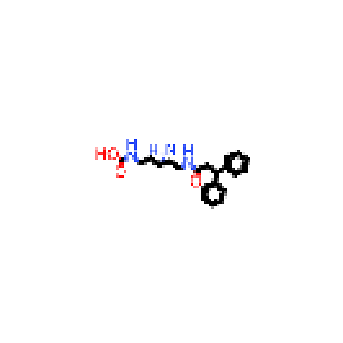 N[C@@H](CCCNC(=O)O)CNC(=O)CC(c1ccccc1)c1ccccc1